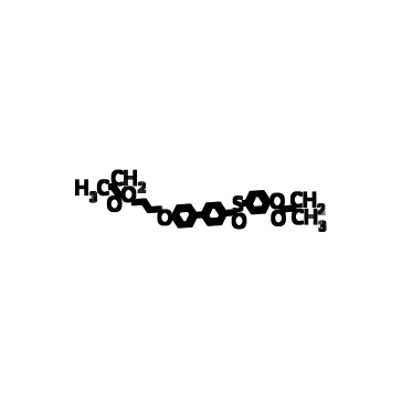 C=C(C)C(=O)OCCCCOc1ccc(-c2ccc(C(=O)Sc3ccc(OC(=O)C(=C)C)cc3)cc2)cc1